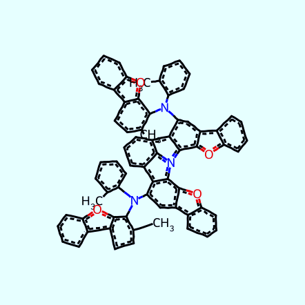 Cc1ccccc1N(c1c(C)ccc2c1oc1ccccc12)c1cc2c3ccccc3oc2c2c1c1cccc3c4c(N(c5ccccc5C)c5c(C)ccc6c5oc5ccccc56)cc5c6ccccc6oc5c4n2c13